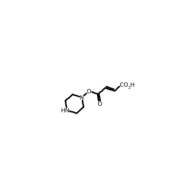 O=C(O)C=CC(=O)ON1CCNCC1